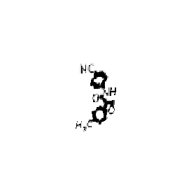 CC1CCC2(CC1)OCC2C(=O)Nc1ccc(C#N)cc1